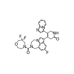 O=C1CC(c2cn3c4c(cc(F)cc24)CN(C(=O)N2CCOCC(F)(F)C2)CC3)=C(c2cnc3ccccn23)CN1